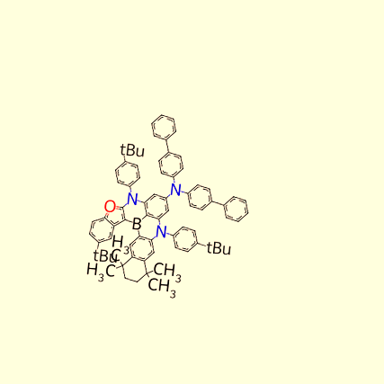 CC(C)(C)c1ccc(N2c3cc4c(cc3B3c5c2cc(N(c2ccc(-c6ccccc6)cc2)c2ccc(-c6ccccc6)cc2)cc5N(c2ccc(C(C)(C)C)cc2)c2oc5ccc(C(C)(C)C)cc5c23)C(C)(C)CCC4(C)C)cc1